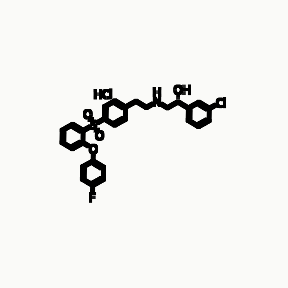 Cl.O=S(=O)(c1ccc(CCNC[C@H](O)c2cccc(Cl)c2)cc1)c1ccccc1Oc1ccc(F)cc1